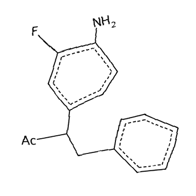 CC(=O)C(Cc1ccccc1)c1ccc(N)c(F)c1